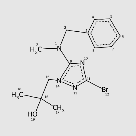 CN(Cc1ccccc1)c1nc(Br)nn1CC(C)(C)O